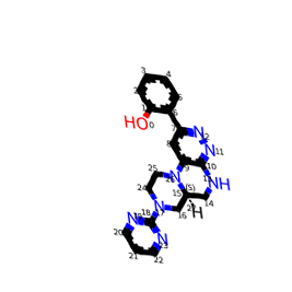 Oc1ccccc1-c1cc2c(nn1)NC[C@H]1CN(c3ncccn3)CCN21